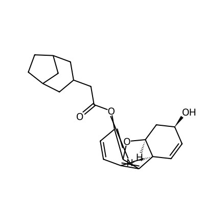 CN1CC[C@@]23C=C[C@H](O)C[C@@H]2Oc2c(OC(=O)CC4CC5CCC(C5)C4)ccc(c23)C1